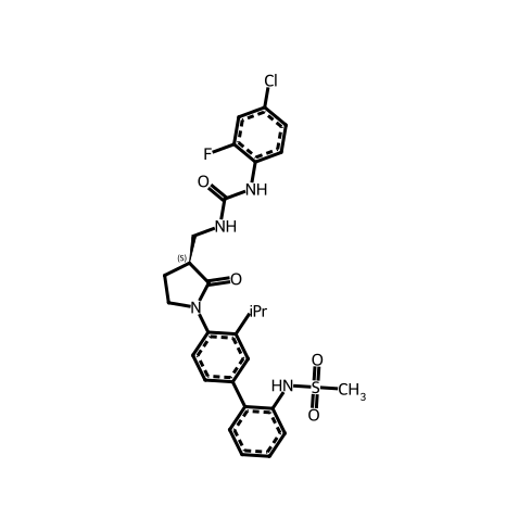 CC(C)c1cc(-c2ccccc2NS(C)(=O)=O)ccc1N1CC[C@@H](CNC(=O)Nc2ccc(Cl)cc2F)C1=O